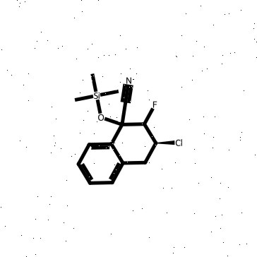 C[Si](C)(C)OC1(C#N)c2ccccc2C[C@H](Cl)C1F